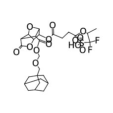 CC(OC(=O)CCC(=O)OC1C2OC(=O)C3C2OC1C3C(=O)OCOCC12CC3CC(CC(C3)C1)C2)C(F)(F)S(=O)(=O)O